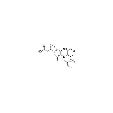 CC(C)CN(c1c(N)cc(C(C)CC(=O)O)cc1F)C1CCOCC1